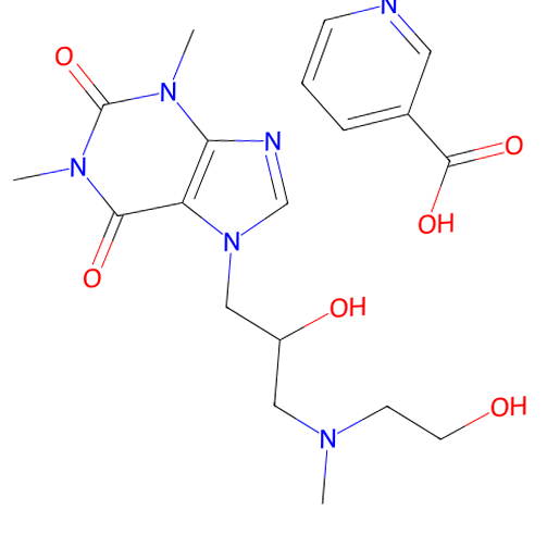 CN(CCO)CC(O)Cn1cnc2c1c(=O)n(C)c(=O)n2C.O=C(O)c1cccnc1